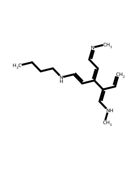 C=CC(=C\NC)/C(/C=C/NCCCC)=C/C=N\C